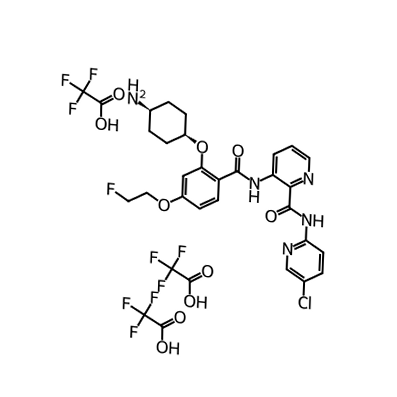 N[C@H]1CC[C@@H](Oc2cc(OCCF)ccc2C(=O)Nc2cccnc2C(=O)Nc2ccc(Cl)cn2)CC1.O=C(O)C(F)(F)F.O=C(O)C(F)(F)F.O=C(O)C(F)(F)F